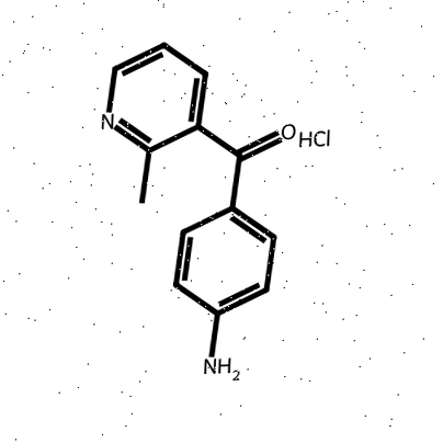 Cc1ncccc1C(=O)c1ccc(N)cc1.Cl